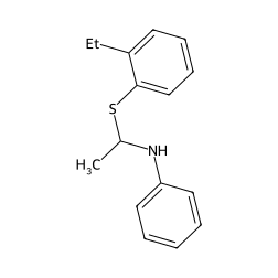 CCc1ccccc1SC(C)Nc1ccccc1